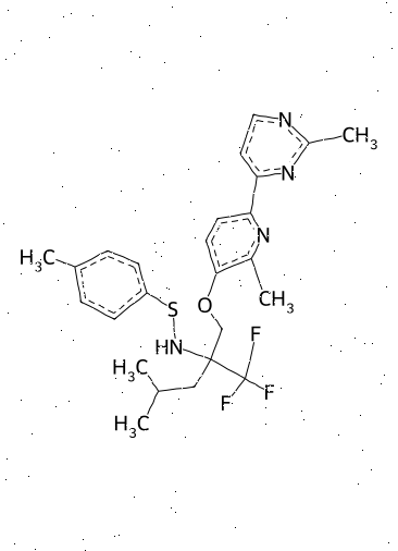 Cc1ccc(SNC(COc2ccc(-c3ccnc(C)n3)nc2C)(CC(C)C)C(F)(F)F)cc1